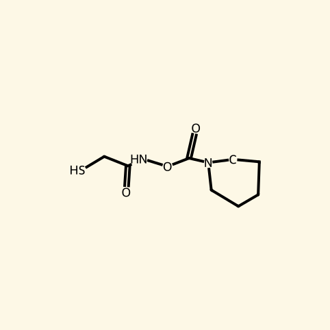 O=C(CS)NOC(=O)N1CCCCC1